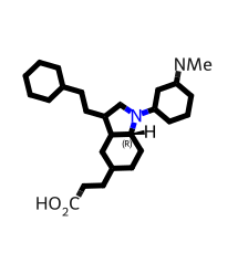 CNC1CCCC(N2CC(CCC3CCCCC3)C3CC(CCC(=O)O)CC[C@H]32)C1